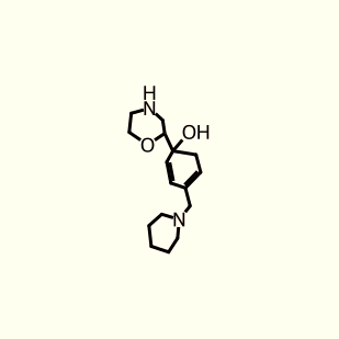 OC1(C2CNCCO2)C=CC(CN2CCCCC2)=CC1